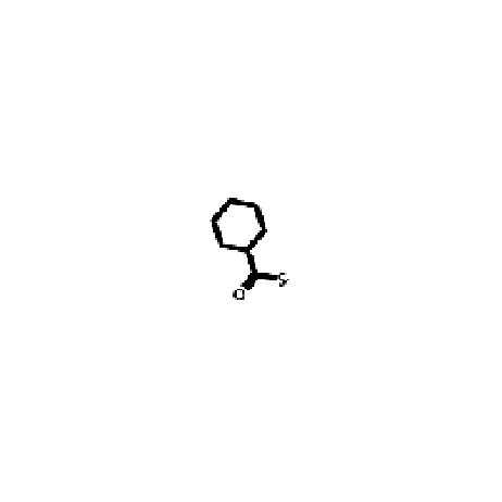 O=C([S])C1CCCCC1